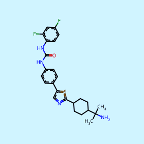 CC(C)(N)C1CCC(c2ncc(-c3ccc(NC(=O)Nc4ccc(F)cc4F)cc3)s2)CC1